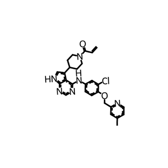 C=CC(=O)N1CCC(c2c[nH]c3ncnc(Nc4ccc(OCc5cc(C)ccn5)c(Cl)c4)c23)CC1